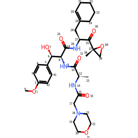 COc1ccc([C@@H](O)[C@H](NC(=O)[C@H](C)NC(=O)CN2CCOCC2)C(=O)N[C@@H](CC2=CCCCC2)C(=O)[C@@]2(C)CO2)cc1